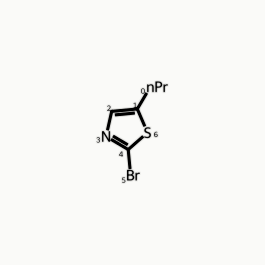 CCCc1cnc(Br)s1